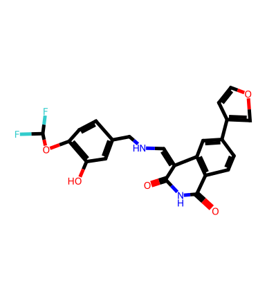 O=C1NC(=O)c2ccc(-c3ccoc3)cc2C1=CNCc1ccc(OC(F)F)c(O)c1